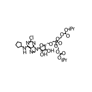 CC(C)OC(=O)OCOP(=O)(COC[C@H]1O[C@@H](n2cnc3c(NC4CCCC4)nc(Cl)nc32)[C@H](O)[C@@H]1O)OCOC(=O)OC(C)C